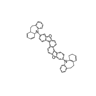 C1=CC2CCc3ccccc3N(c3ccc4c(c3)oc3ccc5c(ccc6oc7cc(N8C9=C(C=CCC9)CCc9ccccc98)ccc7c65)c34)C2C=C1